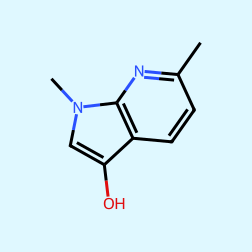 Cc1ccc2c(O)cn(C)c2n1